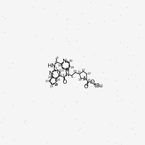 CC(Nc1nc(C(=O)NCCC2CCN(C(=O)OC(C)(C)C)C2)c2sccc2n1)c1ccccn1